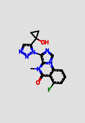 Cn1c(=O)c2c(F)cccc2n2cnc(-n3nncc3C3(O)CC3)c12